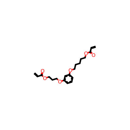 C=CC(=O)OCCCCCOc1cccc(OCCCOC(=O)C=C)c1